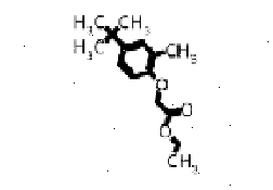 CCOC(=O)COc1ccc(C(C)(C)C)cc1C